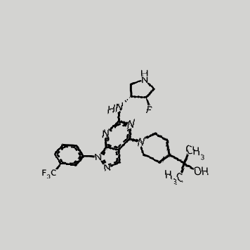 CC(C)(O)C1CCN(c2nc(N[C@@H]3CNC[C@H]3F)nc3c2cnn3-c2cccc(C(F)(F)F)c2)CC1